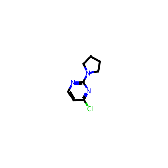 Clc1ccnc(N2CCCC2)n1